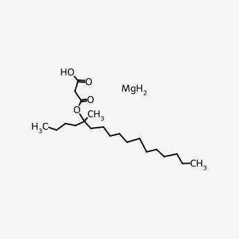 CCCCCCCCCCCCC(C)(CCCC)OC(=O)CC(=O)O.[MgH2]